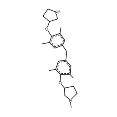 Cc1cc(Cc2cc(C)c(OC3CCN(C)C3)c(C)c2)cc(C)c1OC1CCNC1